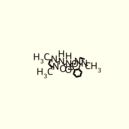 Cc1cc(C)nc(NC(=O)NS(=O)(=O)c2ccccc2-c2nccn2C)n1